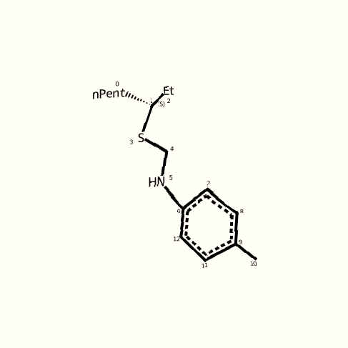 CCCCC[C@H](CC)SCNc1ccc(C)cc1